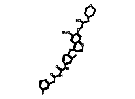 COc1cc2c(Oc3ccc(NC(=O)NC(=O)Cc4cccc(F)c4)cc3F)ccnc2cc1OCC(O)CN1CCOCC1